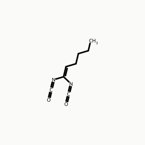 CCCCC=C(N=C=O)N=C=O